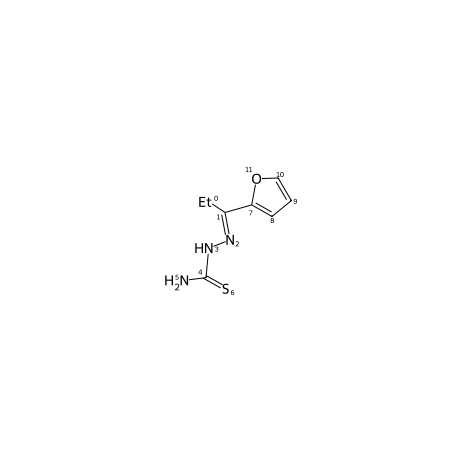 CCC(=NNC(N)=S)c1ccco1